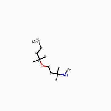 CCNC(C)(C)CCOC(C)(C)CCOC